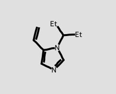 C=Cc1cncn1C(CC)CC